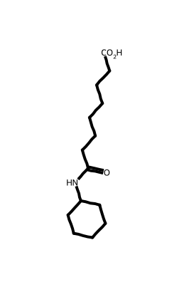 O=C(O)CCCCCCC(=O)NC1CCCCC1